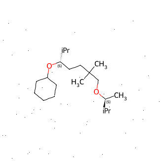 CC(C)[C@H](C)OCC(C)(C)CC[C@H](OC1CCCCC1)C(C)C